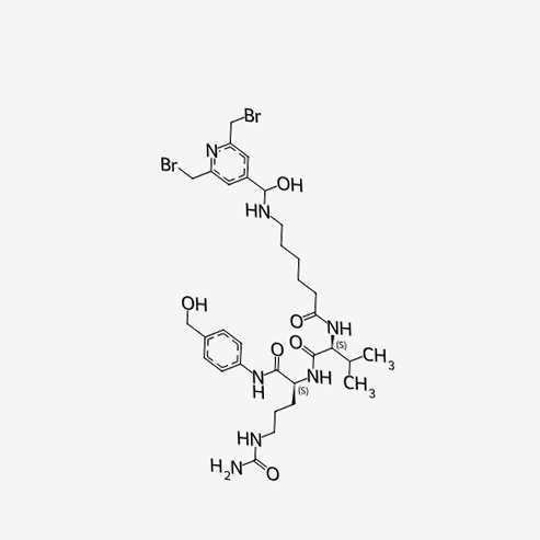 CC(C)[C@H](NC(=O)CCCCCNC(O)c1cc(CBr)nc(CBr)c1)C(=O)N[C@@H](CCCNC(N)=O)C(=O)Nc1ccc(CO)cc1